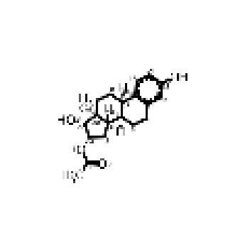 CC(=O)O[C@H]1C[C@H]2[C@@H]3CCc4cc(O)ccc4[C@H]3CC[C@]2(C)[C@H]1O